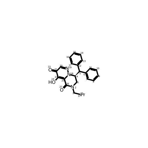 CC(C)CN1C[C@H](C(c2ccccc2)c2ccccc2)n2ncc(=O)c(O)c2C1=O